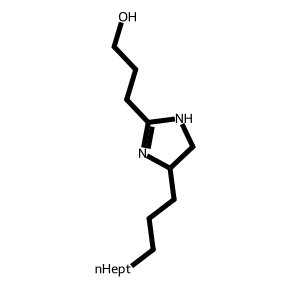 CCCCCCCCCCC1CNC(CCCO)=N1